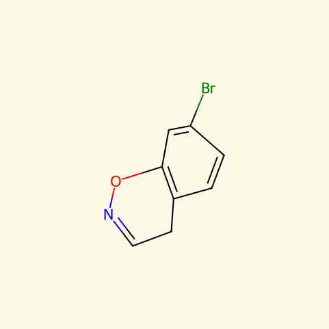 Brc1ccc2c(c1)ON=CC2